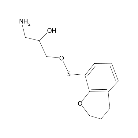 NCC(O)COSc1cccc2c1OCCC2